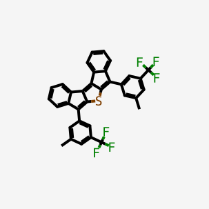 Cc1cc(C2=c3sc4c(c3-c3ccccc32)-c2ccccc2C=4c2cc(C)cc(C(F)(F)F)c2)cc(C(F)(F)F)c1